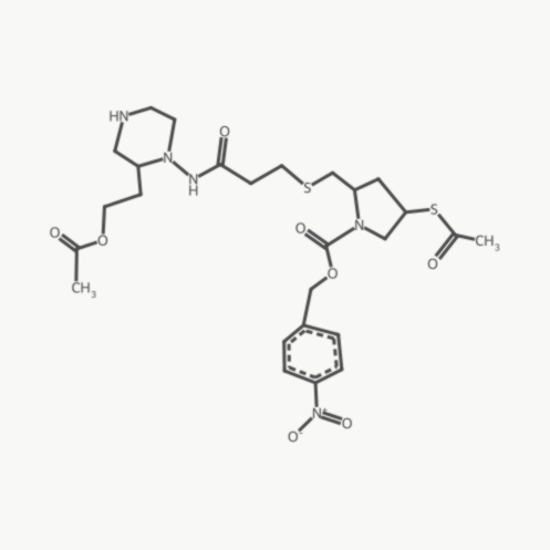 CC(=O)OCCC1CNCCN1NC(=O)CCSCC1CC(SC(C)=O)CN1C(=O)OCc1ccc([N+](=O)[O-])cc1